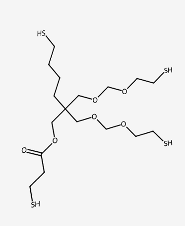 O=C(CCS)OCC(CCCCS)(COCOCCS)COCOCCS